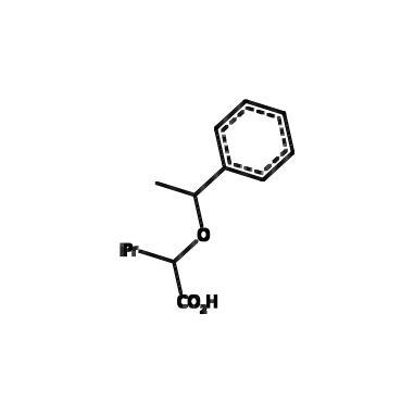 CC(OC(C(=O)O)C(C)C)c1ccccc1